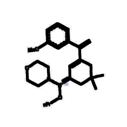 C=C(C1=C/C(=[N+](/OCCC)N2CCOCC2)CC(C)(C)C1)c1cccc(OC)c1